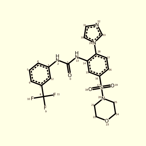 O=C(Nc1cccc(C(F)(F)F)c1)Nc1cc(S(=O)(=O)N2CCOCC2)ccc1-n1ccnc1